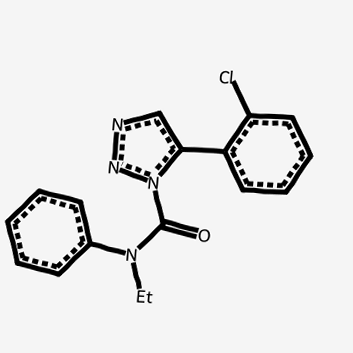 CCN(C(=O)n1nncc1-c1ccccc1Cl)c1ccccc1